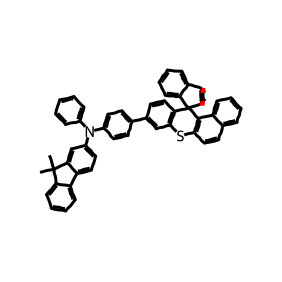 CC1(C)c2ccccc2-c2ccc(N(c3ccccc3)c3ccc(-c4ccc5c(c4)Sc4ccc6ccccc6c4C54c5ccccc5-c5ccccc54)cc3)cc21